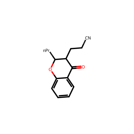 CCCC1Oc2ccccc2C(=O)C1CCC#N